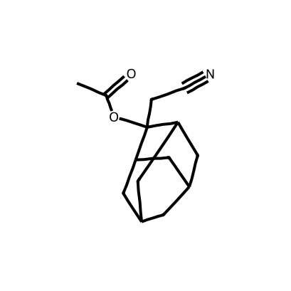 CC(=O)OC1(CC#N)C2CC3CC(C2)CC1C3